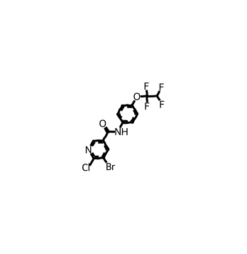 O=C(Nc1ccc(OC(F)(F)C(F)F)cc1)c1cnc(Cl)c(Br)c1